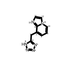 c1cc(Cc2nnn[nH]2)c2nccn2c1